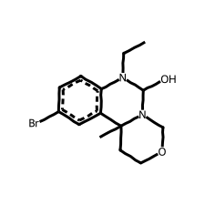 CCN1c2ccc(Br)cc2C2(C)CCOCN2C1O